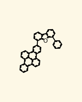 c1ccc(-c2cccc3c2oc2c(-c4ccc5c(c4)c4cccc6c7ccccc7c7cccc5c7c64)cccc23)cc1